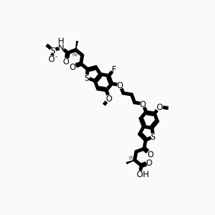 COc1cc2sc(C(=O)C[C@H](C)C(=O)O)cc2cc1OCCCOc1c(OC)cc2sc(C(=O)C[C@H](C)C(=O)N[S+](C)[O-])cc2c1F